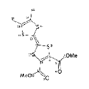 COC(=O)C1=C(C(=O)OC)SC(=C2SC(C)=C(C)S2)S1